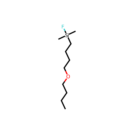 CCCCOCCCC[Si](C)(C)F